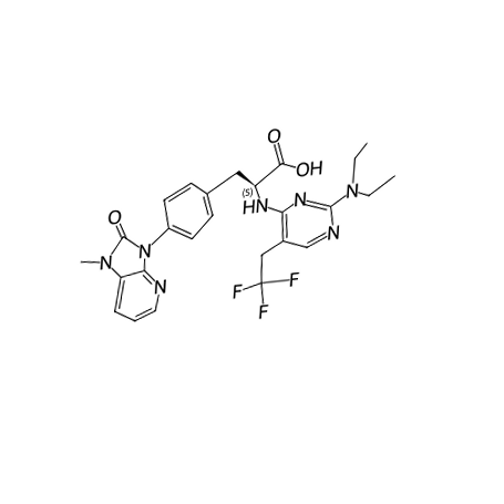 CCN(CC)c1ncc(CC(F)(F)F)c(N[C@@H](Cc2ccc(-n3c(=O)n(C)c4cccnc43)cc2)C(=O)O)n1